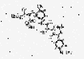 CC(=O)Nc1ccc(N(CCCl)C(=O)[C@H](O)[C@@H](O)C(=O)Nc2ccc(C#N)c(CN(C(=O)OC(C)(C)C)C(=O)OC(C)(C)C)c2)cc1